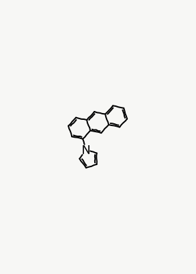 c1ccc2cc3c(-n4cccc4)cccc3cc2c1